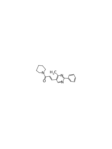 Cc1nc(-c2ccccc2)ncc1C=CC(=O)N1CCCCC1